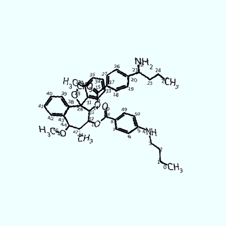 CCCCNc1ccc(C(=O)OC2C(OC(=O)c3ccc(C(N)CCC)cc3)C(OC)(c3ccccc3C)c3ccccc3C(OC)[C@H]2C)cc1